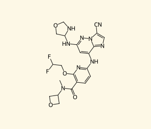 CN(C(=O)c1ccc(Nc2cc(NC3COCN3)nn3c(C#N)cnc23)nc1OCC(F)F)C1COC1